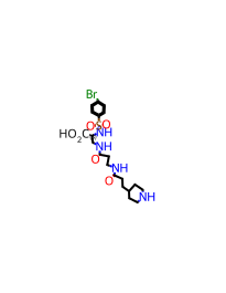 O=C(CCC1CCNCC1)NCCC(=O)NC[C@H](NS(=O)(=O)c1ccc(Br)cc1)C(=O)O